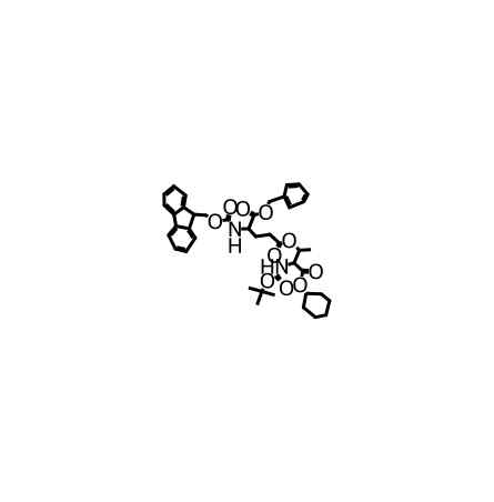 CC(OC(=O)CCC(NC(=O)OCC1c2ccccc2-c2ccccc21)C(=O)OCc1ccccc1)C(NC(=O)OC(C)(C)C)C(=O)OC1CCCCC1